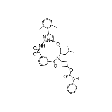 Cc1cccc(C)c1-c1cc2nc(n1)NS(=O)(=O)c1cccc(c1)C(=O)N(C1CC(OC(=O)Nc3ccccc3)C1)[C@H](CC(C)C)CO2